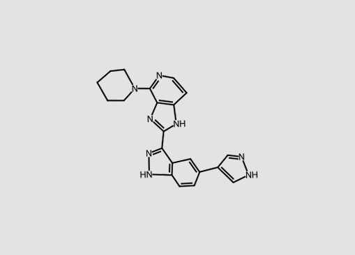 c1cc2[nH]c(-c3n[nH]c4ccc(-c5cn[nH]c5)cc34)nc2c(N2CCCCC2)n1